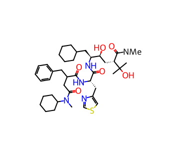 CNC(=O)[C@@H](C[C@H](O)[C@H](CC1CCCCC1)NC(=O)[C@H](Cc1cscn1)NC(=O)C(CC(=O)N(C)C1CCCCC1)Cc1ccccc1)C(C)(C)O